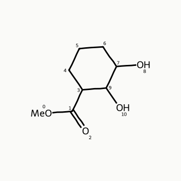 COC(=O)C1CCCC(O)C1O